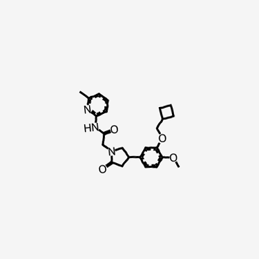 COc1ccc(C2CC(=O)N(CC(=O)Nc3cccc(C)n3)C2)cc1OCC1CCC1